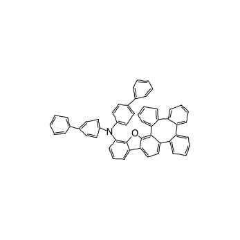 c1ccc(-c2ccc(N(c3ccc(-c4ccccc4)cc3)c3cccc4c3oc3c5c(ccc34)-c3ccccc3-c3ccccc3-c3ccccc3-5)cc2)cc1